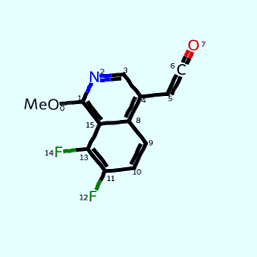 COc1ncc(C=C=O)c2ccc(F)c(F)c12